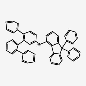 c1ccc(-c2ccccc2-c2cc(Nc3cccc4c3-c3ccccc3C4(c3ccccc3)c3ccccc3)ccc2-c2ccccc2)cc1